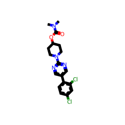 CN(C)C(=O)OC1CCN(c2ncc(-c3ccc(Cl)cc3Cl)cn2)CC1